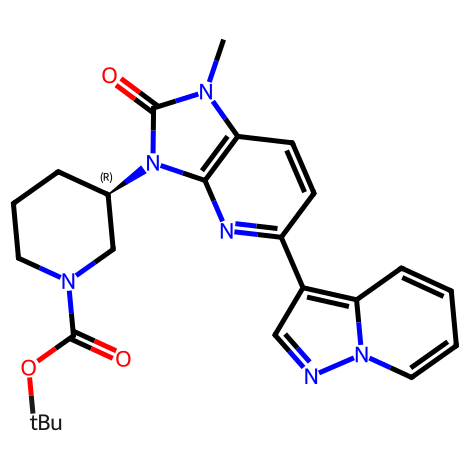 Cn1c(=O)n([C@@H]2CCCN(C(=O)OC(C)(C)C)C2)c2nc(-c3cnn4ccccc34)ccc21